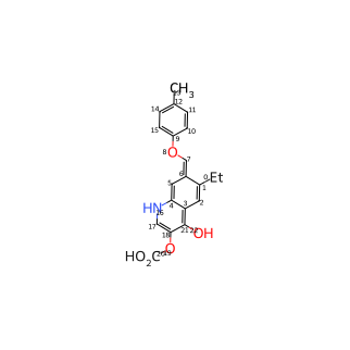 CCc1cc2c(cc1=COc1ccc(C)cc1)NC=C(OC(=O)O)C=2O